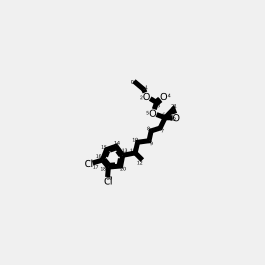 CCOC(=O)OC1(CCCCC(C)c2ccc(Cl)c(Cl)c2)CO1